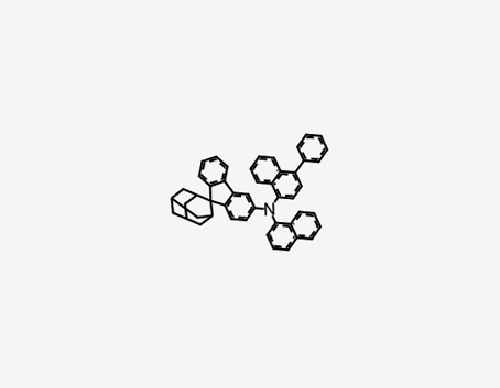 c1ccc(-c2ccc(N(c3ccc4c(c3)-c3ccccc3C43C4CC5CC(C4)CC3C5)c3cccc4ccccc34)c3ccccc23)cc1